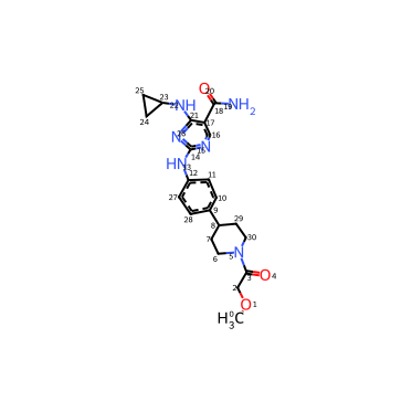 COCC(=O)N1CCC(c2ccc(Nc3ncc(C(N)=O)c(NC4CC4)n3)cc2)CC1